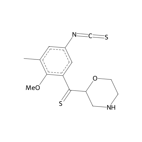 COc1c(C)cc(N=C=S)cc1C(=S)C1CNCCO1